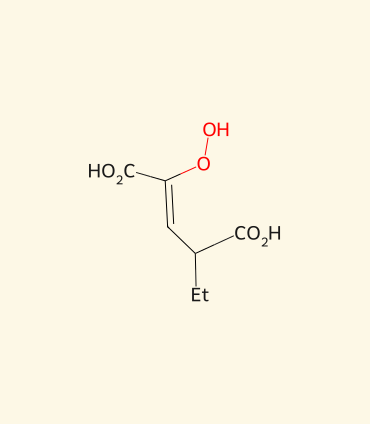 CCC(C=C(OO)C(=O)O)C(=O)O